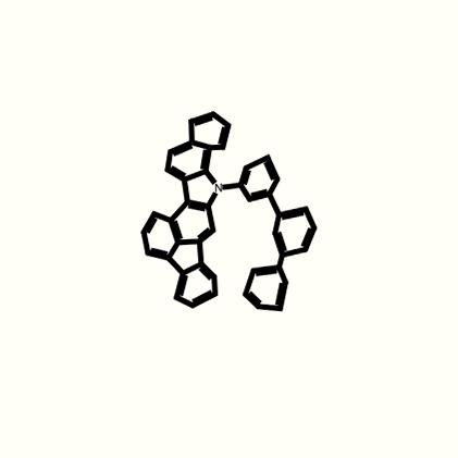 c1ccc(-c2cccc(-c3cccc(-n4c5cc6c7c(cccc7c5c5ccc7ccccc7c54)-c4ccccc4-6)c3)c2)cc1